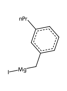 CCCc1cccc([CH2][Mg][I])c1